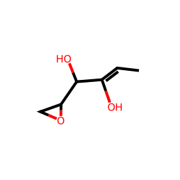 CC=C(O)C(O)C1CO1